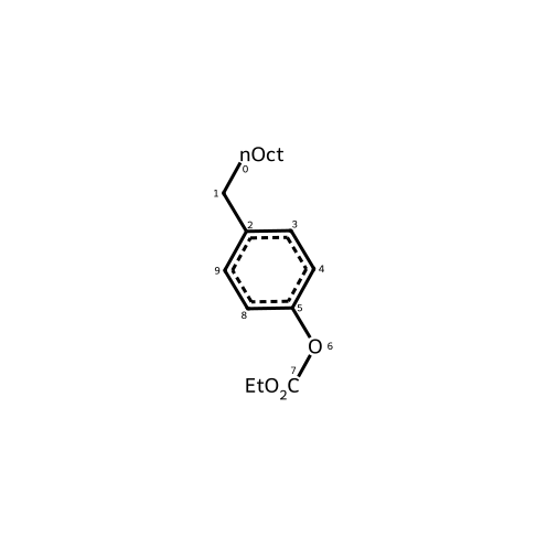 CCCCCCCCCc1ccc(OC(=O)OCC)cc1